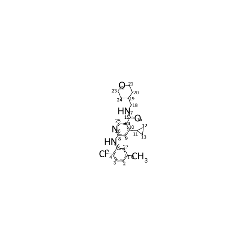 Cc1ccc(Cl)c(Nc2cc(C3CC3)c(C(=O)NCC3CCOCC3)cn2)c1